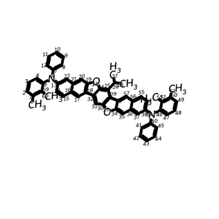 Cc1cccc(N(c2ccccc2)c2ccc3cc4c(cc3c2)oc2c(C(C)C)c3c(cc24)oc2cc4cc(N(c5ccccc5)c5cccc(C)c5C)ccc4cc23)c1C